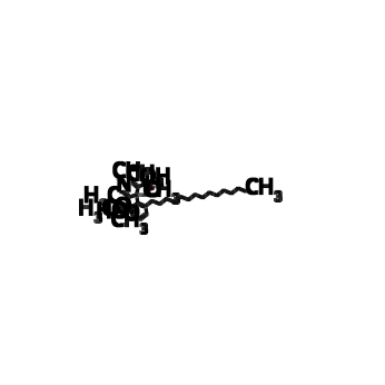 CCCCCCCCCCCCCCCc1cccc(OC(C)C)c1C1(CC)C(C(=O)O)=C(C)N(CC)C(C)=C1C(=O)O